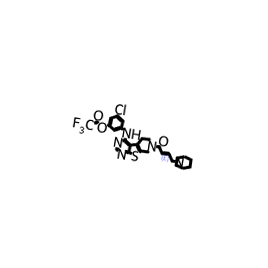 O=C(/C=C/CN1C2CCC1CC2)N1CCc2c(sc3ncnc(Nc4cc(Cl)cc(OC(=O)C(F)(F)F)c4)c23)C1